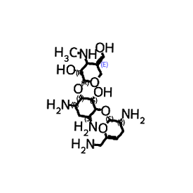 CNC1/C(=C\O)CO[C@H](O[C@H]2[C@H](N)C[C@H](N)C(O[C@H]3OC(CN)=CC[C@H]3N)[C@@H]2O)[C@@H]1O